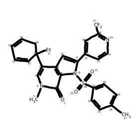 CCC1(c2cn(C)c(=O)c3c2cc(-c2ccnc(C(F)(F)F)c2)n3S(=O)(=O)c2ccc(C)cc2)C=CC=CC1